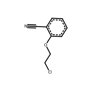 N#Cc1ccccc1OCCCl